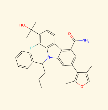 CCCC(c1ccccc1)n1c2cc(-c3c(C)coc3C)cc(C(N)=O)c2c2ccc(C(C)(C)O)c(F)c21